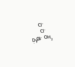 O.[Cl-].[Cl-].[Cl-].[Dy+3]